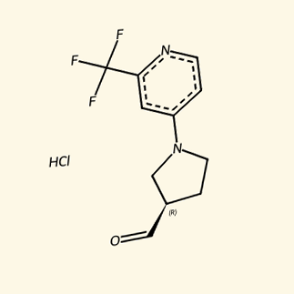 Cl.O=C[C@@H]1CCN(c2ccnc(C(F)(F)F)c2)C1